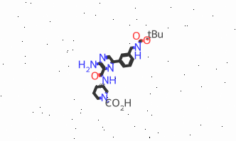 CC(C)(C)OC(=O)NCc1cccc(-c2cnc(N)c(C(=O)N[C@H]3CCCN(C(=O)O)C3)n2)c1